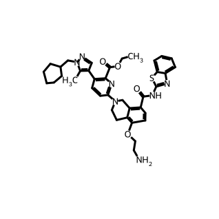 CCOC(=O)c1nc(N2CCc3c(OCCN)ccc(C(=O)Nc4nc5ccccc5s4)c3C2)ccc1-c1cnn(CC2CCCCC2)c1C